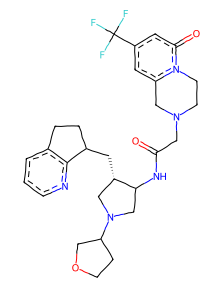 O=C(CN1CCn2c(cc(C(F)(F)F)cc2=O)C1)NC1CN(C2CCOC2)C[C@@H]1CC1CCc2cccnc21